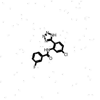 O=C(Nc1cc(Cl)ccc1-c1nnn[nH]1)c1cccc(F)c1